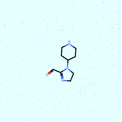 O=CC1=NCCN1C1CCNCC1